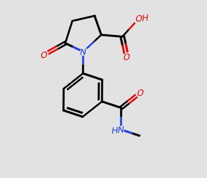 CNC(=O)c1cccc(N2C(=O)CCC2C(=O)O)c1